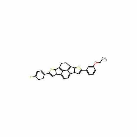 CCOc1cccc(C2=CC3c4ccc5c6c4=C(CCC=6C4SC(C6=CC=C(F)CC6)=CC54)C3S2)c1